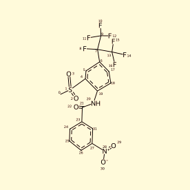 CS(=O)(=O)c1cc(C(F)(C(F)(F)F)C(F)(F)F)ccc1NC(=O)c1cccc([N+](=O)[O-])c1